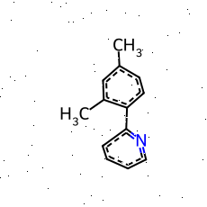 Cc1ccc(-c2ccccn2)c(C)c1